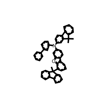 CC1(C)c2ccccc2-c2ccc(N(c3cccc(-c4ccccc4)c3)c3ccc4c(c3)oc3c(C5(C)c6ccccc6-c6ccccc65)cccc34)cc21